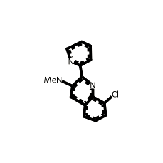 CNc1cc2cccc(Cl)c2nc1-c1ccccn1